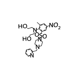 Cc1cc([N+](=O)[O-])cc(S(=O)(=O)N2CCN(Cc3ccccn3)CC2)c1N(CCO)CCO